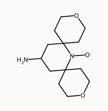 NC1CC2(CCOCC2)N([O])C2(CCOCC2)C1